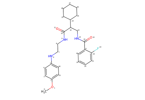 COc1ccc(NCCNC(=O)C(CNC(=O)c2ccccc2F)C2CCCCC2)cc1